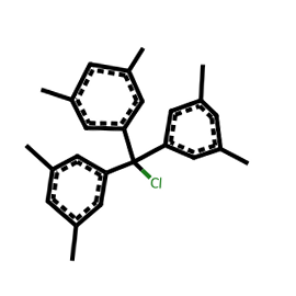 Cc1cc(C)cc(C(Cl)(c2cc(C)cc(C)c2)c2cc(C)cc(C)c2)c1